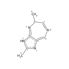 Cc1nc2c([nH]1)=NC(C)C=NC=2